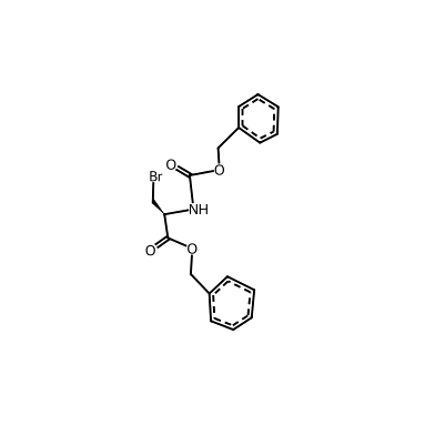 O=C(N[C@H](CBr)C(=O)OCc1ccccc1)OCc1ccccc1